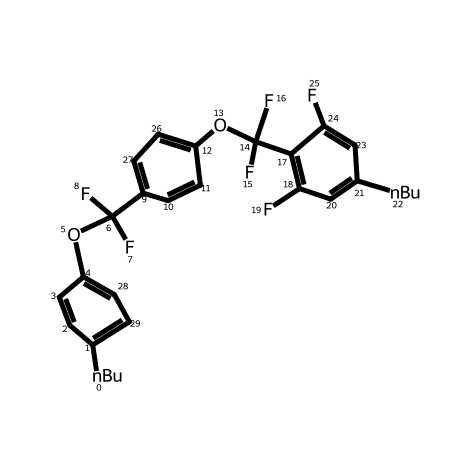 CCCCc1ccc(OC(F)(F)c2ccc(OC(F)(F)c3c(F)cc(CCCC)cc3F)cc2)cc1